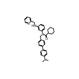 CN(C)c1ccc(-c2ccc(CN(C(=O)C3CCCCC3)c3cccc(NCc4ccccn4)c3)cc2)cc1